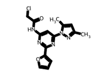 Cc1cc(C)n(-c2cc(NC(=O)CCl)nc(-c3ccco3)n2)n1